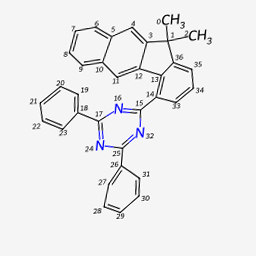 CC1(C)c2cc3ccccc3cc2-c2c(-c3nc(-c4ccccc4)nc(-c4ccccc4)n3)cccc21